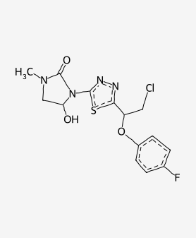 CN1CC(O)N(c2nnc(C(CCl)Oc3ccc(F)cc3)s2)C1=O